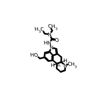 CCN(CC)C(=O)Nn1cc2c3c(cc(CO)cc31)[C@H]1CCCN(C)[C@@H]1C2